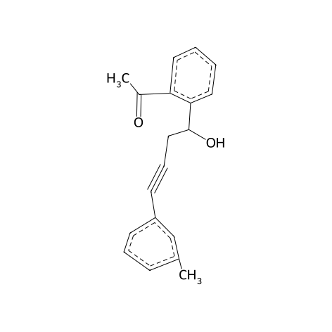 CC(=O)c1ccccc1C(O)CC#Cc1cccc(C)c1